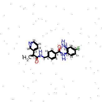 C=C(C(=O)NCc1ccc(C(=O)Nc2ccc(F)cc2N)cc1)c1cccnc1